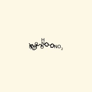 Cc1cc2n(n1)CCCN2C(=O)CCC(=O)Nc1ccc(-c2ccc([N+](=O)[O-])cc2)cc1